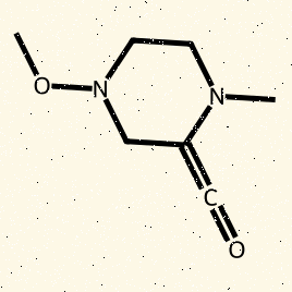 CON1CCN(C)C(=C=O)C1